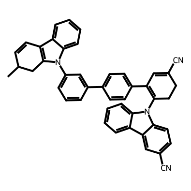 CC1C=Cc2c(n(-c3cccc(-c4ccc(C5=C(n6c7ccccc7c7cc(C#N)ccc76)CCC(C#N)=C5)cc4)c3)c3ccccc23)C1